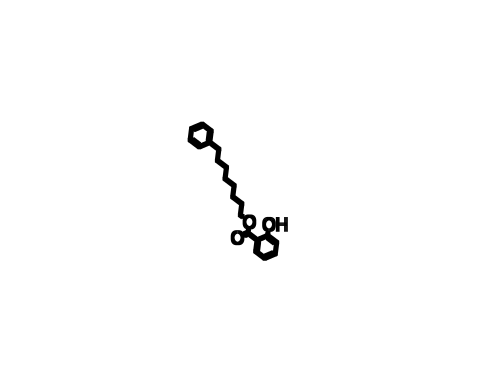 O=C(OCCCCCCCCc1ccccc1)c1ccccc1O